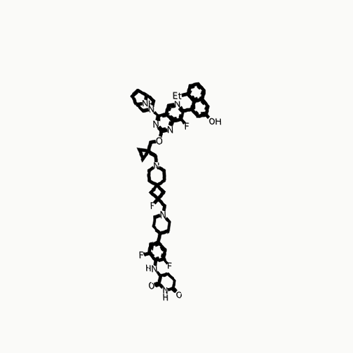 CCc1cccc2cc(O)cc(-c3ncc4c(N5CC6CCC(C5)N6)nc(OCC5(CN6CCC7(CC6)CC(F)(CN6CCC(c8cc(F)c(NC9CCC(=O)NC9=O)c(F)c8)CC6)C7)CC5)nc4c3F)c12